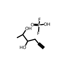 C#CCC(O)C(C)O.O=P(O)(F)F